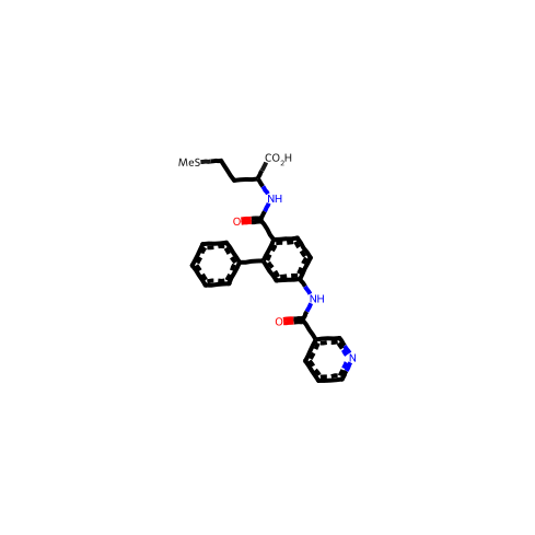 CSCCC(NC(=O)c1ccc(NC(=O)c2cccnc2)cc1-c1ccccc1)C(=O)O